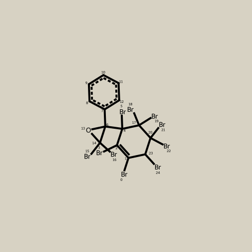 BrC1=C(Br)C(Br)(C2(c3ccccc3)OC2(Br)Br)C(Br)(Br)C(Br)(Br)C1Br